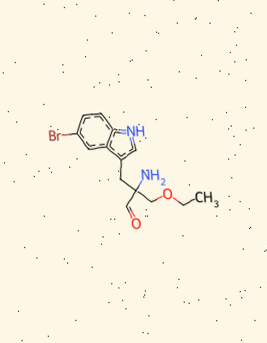 CCOCC(N)(C=O)Cc1c[nH]c2ccc(Br)cc12